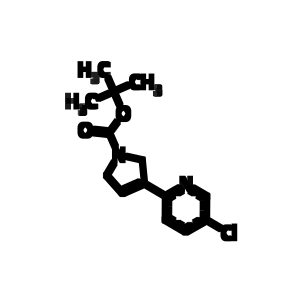 CC(C)(C)OC(=O)N1CC=C(c2ccc(Cl)cn2)C1